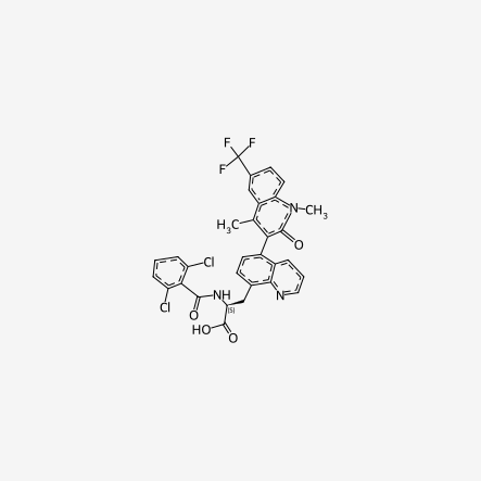 Cc1c(-c2ccc(C[C@H](NC(=O)c3c(Cl)cccc3Cl)C(=O)O)c3ncccc23)c(=O)n(C)c2ccc(C(F)(F)F)cc12